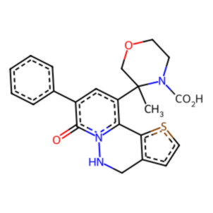 CC1(c2cc(-c3ccccc3)c(=O)n3c2-c2sccc2CN3)COCCN1C(=O)O